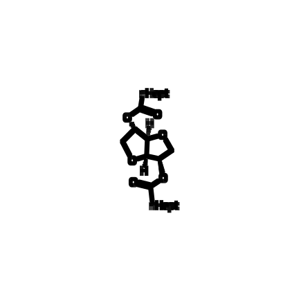 CCCCCCCC(=O)O[C@H]1CO[C@H]2[C@@H]1OC[C@H]2OC(=O)CCCCCCC